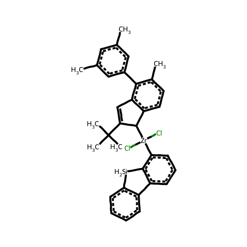 Cc1cc(C)cc(-c2c(C)ccc3c2C=C(C(C)(C)C)[CH]3[Zr]([Cl])([Cl])[c]2cccc3c2[SiH2]c2ccccc2-3)c1